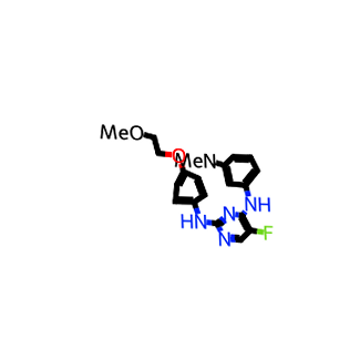 CNc1cccc(Nc2nc(Nc3ccc(OCCOC)cc3)ncc2F)c1